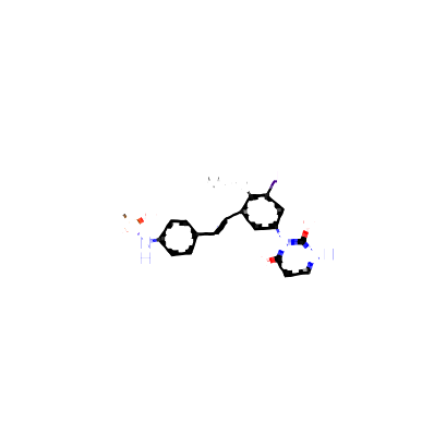 COc1c(I)cc(-n2c(=O)cc[nH]c2=O)cc1/C=C/c1ccc(NS(C)(=O)=O)cc1